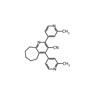 Cc1cc(-c2nc3c(c(-c4ccnc(C)c4)c2C#N)CCCCC3)ccn1